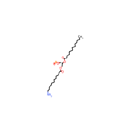 CCCCCCCCCCCCC(=O)O[C@@H](COP=O)COC(=O)CCCCCCCCCCCN